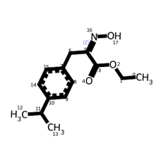 CCOC(=O)/C(Cc1ccc(C(C)C)cc1)=N\O